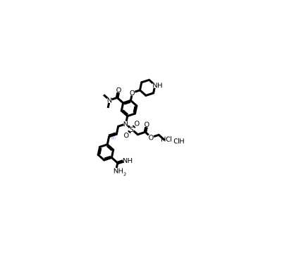 CCOC(=O)CS(=O)(=O)N(C/C=C/c1cccc(C(=N)N)c1)c1ccc(OC2CCNCC2)c(C(=O)N(C)C)c1.Cl.Cl